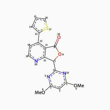 COc1cc(OC)nc(C2OC(=O)c3c(-c4cccs4)ccnc32)n1